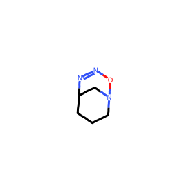 C1CC2CN(C1)ON=N2